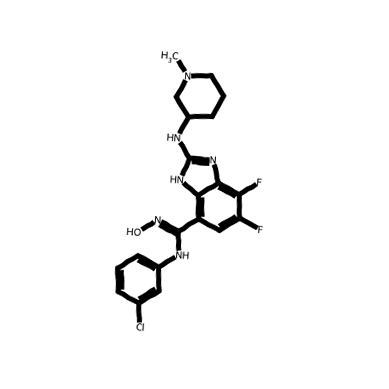 CN1CCCC(Nc2nc3c(F)c(F)cc(C(=NO)Nc4cccc(Cl)c4)c3[nH]2)C1